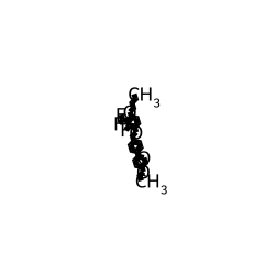 CCCCOc1ccc(OCc2ccc(C3CCC(OCC)CO3)cc2)c(F)c1C(F)F